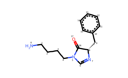 NCCCCN1C=N[C@@H](Cc2ccccc2)C1=O